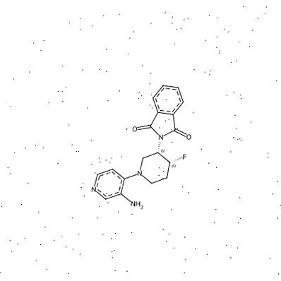 Nc1cnccc1N1CC[C@@H](F)[C@@H](N2C(=O)c3ccccc3C2=O)C1